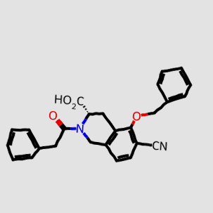 N#Cc1ccc2c(c1OCc1ccccc1)C[C@@H](C(=O)O)N(C(=O)Cc1ccccc1)C2